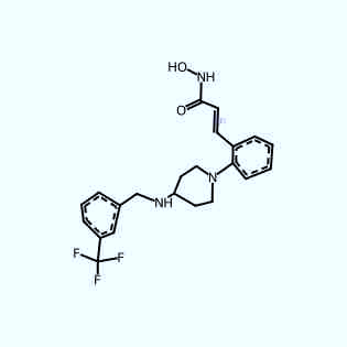 O=C(/C=C/c1ccccc1N1CCC(NCc2cccc(C(F)(F)F)c2)CC1)NO